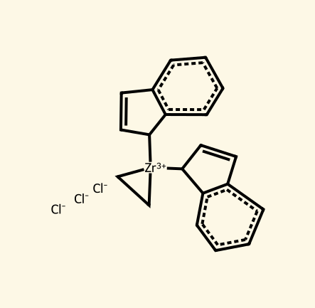 C1=C[CH]([Zr+3]2([CH]3C=Cc4ccccc43)[CH2][CH2]2)c2ccccc21.[Cl-].[Cl-].[Cl-]